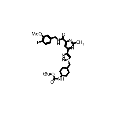 COc1cc(CNC(=O)c2cc(-c3cn(CC4CCC(NC(=O)OC(C)(C)C)CC4)nn3)nc(C)n2)ccc1F